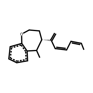 C=C(/C=C\C=C/C)[C@H]1CCOc2ccccc2C1C